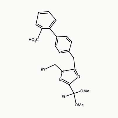 CCC(OC)(OC)c1nc(Cc2ccc(-c3ccccc3C(=O)O)cc2)n(CC(C)C)n1